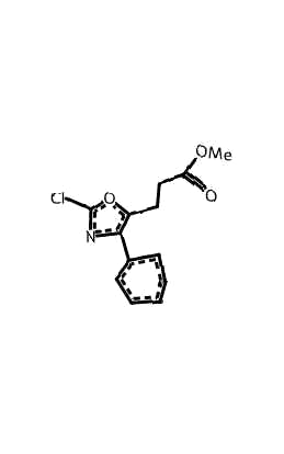 COC(=O)CCc1oc(Cl)nc1-c1ccccc1